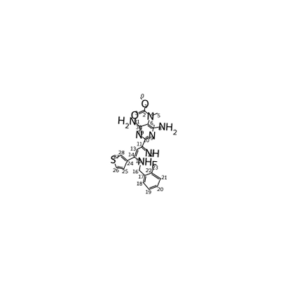 COC(=O)N(C)c1c(N)nc(C(=N)/C=C(\NCc2ccccc2F)c2ccsc2)nc1N